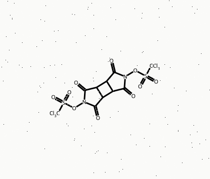 O=C1C2C(C(=O)N1OS(=O)(=O)C(Cl)(Cl)Cl)C1C(=O)N(OS(=O)(=O)C(Cl)(Cl)Cl)C(=O)C21